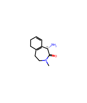 CN1CCC2=C(C=CCC2)[C@H](N)C1=O